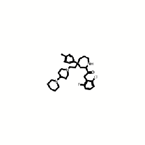 Cc1ccc(C2(CCN3CCC(N4CCCCC4)CC3)CCCNC(C(=O)Cc3c(F)cccc3Cl)C2)cc1